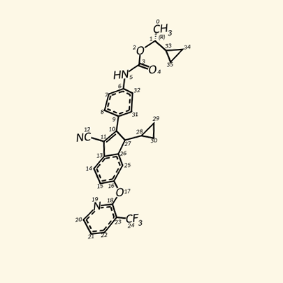 C[C@@H](OC(=O)Nc1ccc(C2=C(C#N)c3ccc(Oc4ncccc4C(F)(F)F)cc3C2C2CC2)cc1)C1CC1